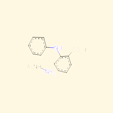 CC(=O)NN.O=C(O)c1ccccc1Nc1ccccc1